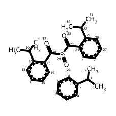 CC(C)c1ccccc1.CC(C)c1ccccc1C(=O)[P](=O)C(=O)c1ccccc1C(C)C